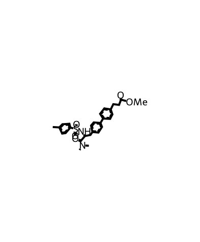 COC(=O)CCc1ccc(-c2ccc(CC(NS(=O)(=O)c3ccc(C)cc3)C(=O)N(C)C)cc2)cc1